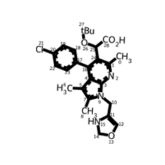 Cc1nc2c(c(C)c(C)n2CC2=COCN2)c(-c2ccc(Cl)cc2)c1C(OC(C)(C)C)C(=O)O